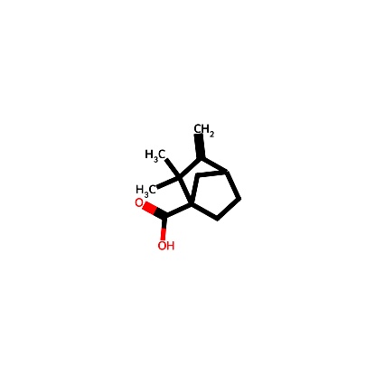 C=C1C2CCC(C(=O)O)(C2)C1(C)C